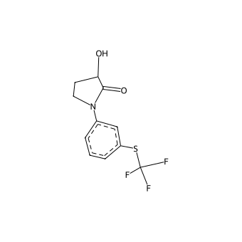 O=C1C(O)CCN1c1cccc(SC(F)(F)F)c1